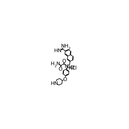 Cl.Cl.N=C(N)c1ccc2ccc(CN(C(=O)C(N)=O)c3ccc(OC4CCNCC4)cc3)cc2c1